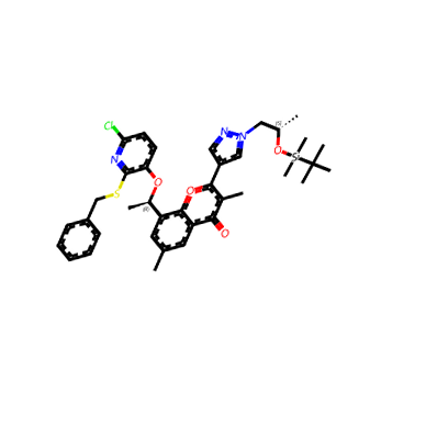 Cc1cc([C@@H](C)Oc2ccc(Cl)nc2SCc2ccccc2)c2oc(-c3cnn(C[C@H](C)O[Si](C)(C)C(C)(C)C)c3)c(C)c(=O)c2c1